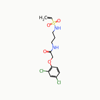 C=CS(=O)(=O)NCCCNC(=O)COc1ccc(Cl)cc1Cl